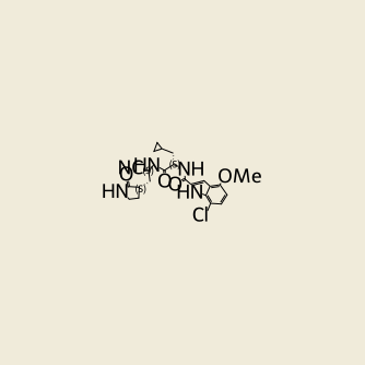 COc1ccc(Cl)c2[nH]c(C(=O)N[C@@H](CC3CC3)C(=O)N[C@H](C#N)C[C@@H]3CCNC3=O)cc12